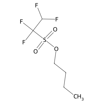 CCCCOS(=O)(=O)C(F)(F)C(F)F